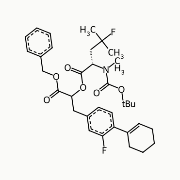 CN(C(=O)OC(C)(C)C)[C@@H](CC(C)(C)F)C(=O)OC(Cc1ccc(C2=CCCCC2)c(F)c1)C(=O)OCc1ccccc1